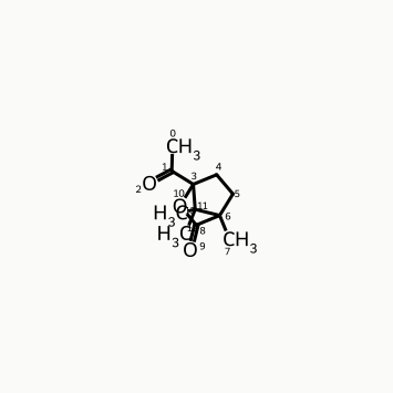 CC(=O)C12CCC(C)(C(=O)O1)C2(C)C